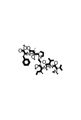 CC[C@H](C)[C@@H]([C@@H](CCN1CCC[C@H]1[C@H](OC)[C@@H](C)C(=O)N[C@@H](Cc1ccccc1)C(=O)OC)OC)N(C)C(=O)[C@@H](NC(=O)[C@H](C(C)C)N(C)C)C(C)C